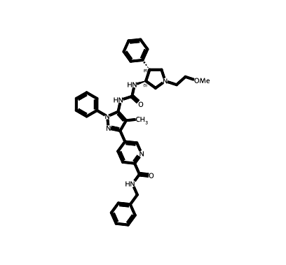 COCCN1C[C@@H](NC(=O)Nc2c(C)c(-c3ccc(C(=O)NCc4ccccc4)nc3)nn2-c2ccccc2)[C@H](c2ccccc2)C1